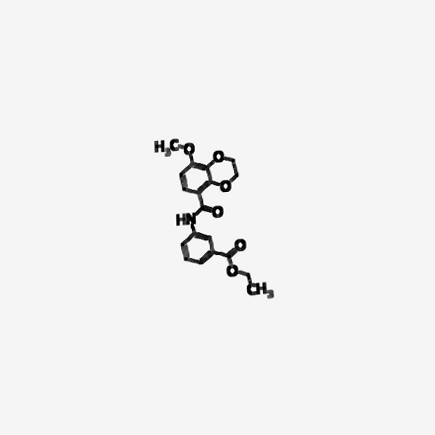 CCOC(=O)c1cccc(NC(=O)c2ccc(OC)c3c2OCCO3)c1